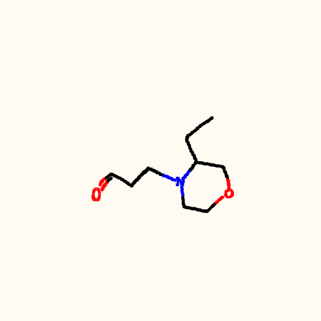 CCC1COCCN1CCC=O